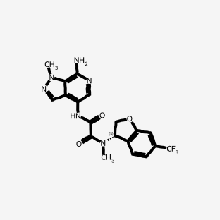 CN(C(=O)C(=O)Nc1cnc(N)c2c1cnn2C)[C@@H]1COc2cc(C(F)(F)F)ccc21